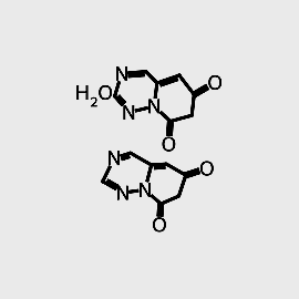 O.O=C1C=C2C=NC=NN2C(=O)C1.O=C1C=C2C=NC=NN2C(=O)C1